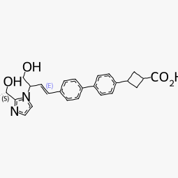 C[C@H](O)c1nccn1C(/C=C/c1ccc(-c2ccc(C3CC(C(=O)O)C3)cc2)cc1)CO